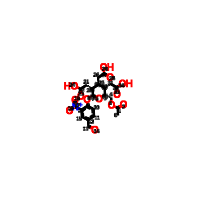 CC(=O)OC[C@@H]1O[C@@H](Oc2ccc(C=O)cc2[N+](=O)[O-])[C@H](CC(=O)O)[C@@H](CC(=O)O)[C@@H]1CC(=O)O